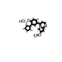 CCOc1cc2nccc(-c3ccc(C(=O)O)c(C4CCCC4)c3)n2n1